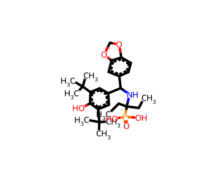 CCC(CC)(NC(c1ccc2c(c1)OCO2)c1cc(C(C)(C)C)c(O)c(C(C)(C)C)c1)P(=O)(O)O